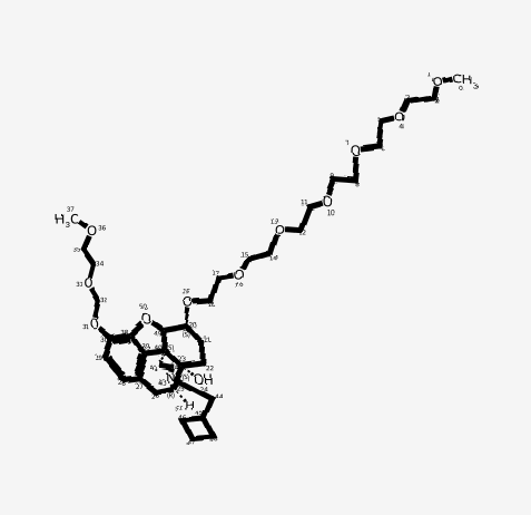 COCCOCCOCCOCCOCCOCCO[C@H]1CC[C@@]2(O)[C@H]3Cc4ccc(OCOCCOC)c5c4[C@@]2(CCN3CC2CCC2)C1O5